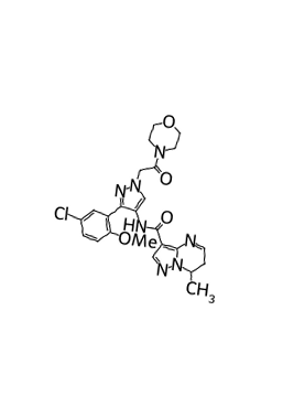 COc1ccc(Cl)cc1-c1nn(CC(=O)N2CCOCC2)cc1NC(=O)c1cnn2c1N=CCC2C